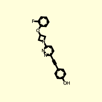 Oc1ccc(C#Cc2ccc(N3CC(Oc4ccccc4F)C3)nn2)cc1